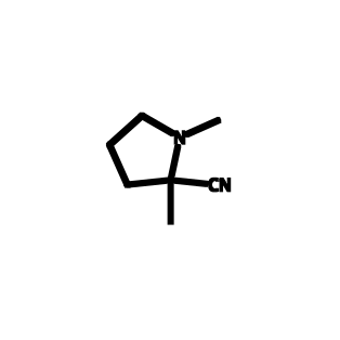 CN1CCCC1(C)C#N